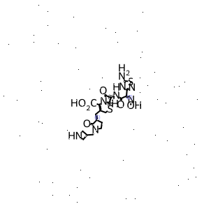 Nc1nc(/C(=N/O)C(=O)N[C@@H]2C(=O)N3C(C(=O)O)=C(/C=C4\CCN(CC5CNC5)C4=O)CS[C@H]23)ns1